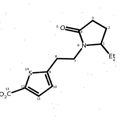 CCC1CCC(=O)N1CCc1ccc(C(=O)O)s1